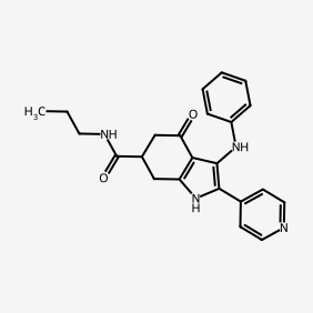 CCCNC(=O)C1CC(=O)c2c([nH]c(-c3ccncc3)c2Nc2ccccc2)C1